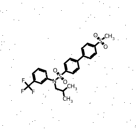 CC(C)CN(c1cccc(C(F)(F)F)c1)S(=O)(=O)c1ccc(-c2ccc(S(C)(=O)=O)cc2)cc1